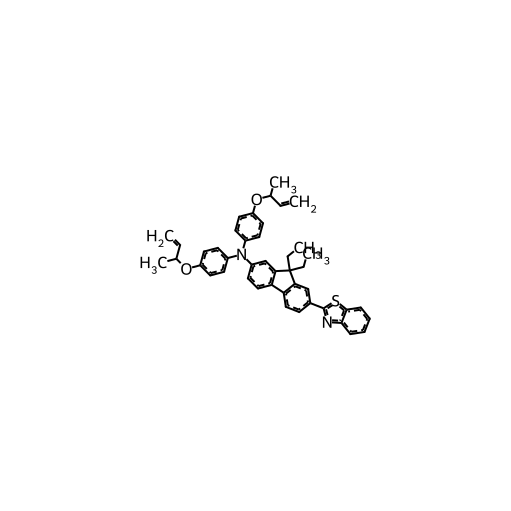 C=CC(C)Oc1ccc(N(c2ccc(OC(C)C=C)cc2)c2ccc3c(c2)C(CC)(CC)c2cc(-c4nc5ccccc5s4)ccc2-3)cc1